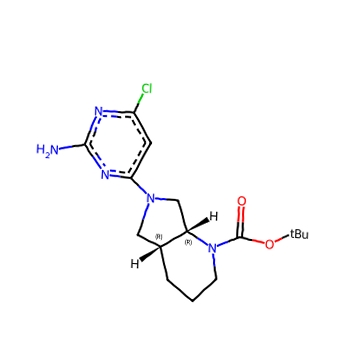 CC(C)(C)OC(=O)N1CCC[C@@H]2CN(c3cc(Cl)nc(N)n3)C[C@@H]21